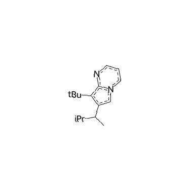 CC(C)C(C)c1cn2cccnc2c1C(C)(C)C